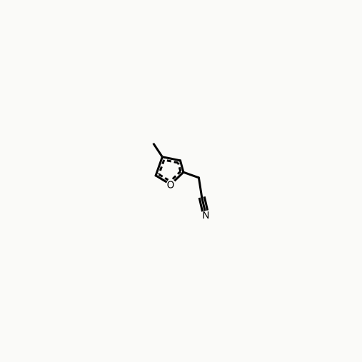 Cc1coc(CC#N)c1